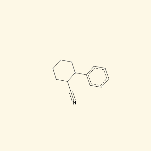 N#CC1CCCC[C]1c1ccccc1